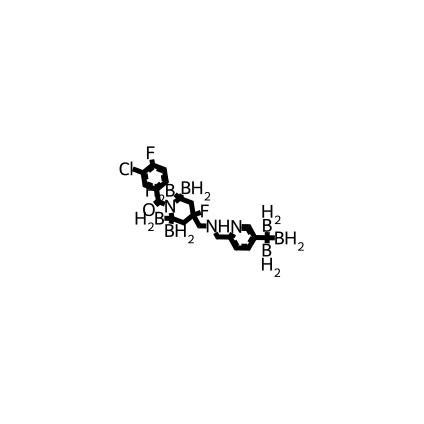 BC(B)(B)c1ccc(CNCC2(F)CC(B)(B)N(C(=O)c3ccc(F)c(Cl)c3)C(B)(B)C2)nc1